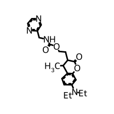 CCN(CC)c1ccc2c(c1)OC(=O)C(CCOC(=O)NCc1cnccn1)C2C